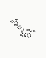 CC(O)c1cccc2[nH]c(C(=O)N3CCc4nc(NCC5(CO)CC5)sc4C3)cc12